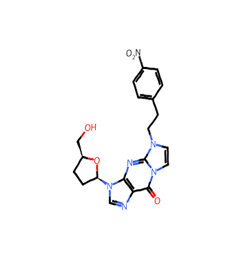 O=c1c2ncn([C@H]3CC[C@@H](CO)O3)c2nc2n(CCc3ccc([N+](=O)[O-])cc3)ccn12